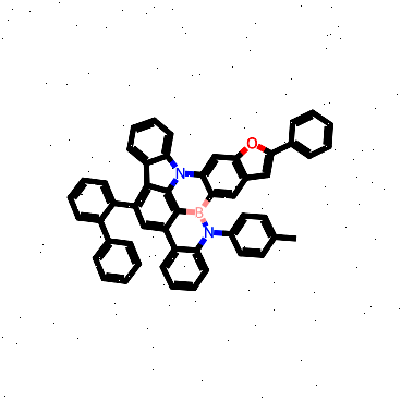 Cc1ccc(N2B3c4cc5cc(-c6ccccc6)oc5cc4-n4c5ccccc5c5c(-c6ccccc6-c6ccccc6)cc(c3c54)-c3ccccc32)cc1